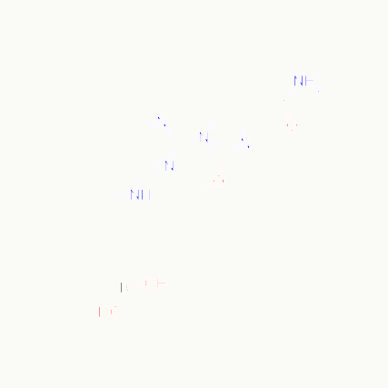 COc1nc2c(C(N)=O)cccc2n1-c1ncc(C)c(NCc2cccc(B(O)O)c2)n1